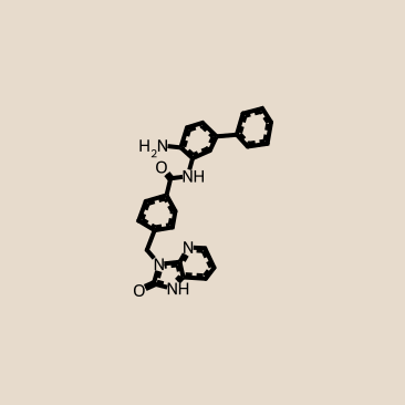 Nc1ccc(-c2ccccc2)cc1NC(=O)c1ccc(Cn2c(=O)[nH]c3cccnc32)cc1